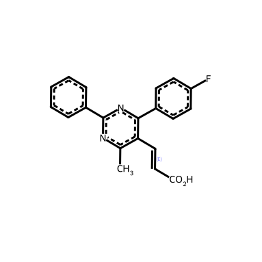 Cc1nc(-c2ccccc2)nc(-c2ccc(F)cc2)c1/C=C/C(=O)O